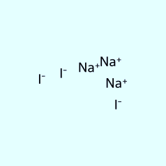 [I-].[I-].[I-].[Na+].[Na+].[Na+]